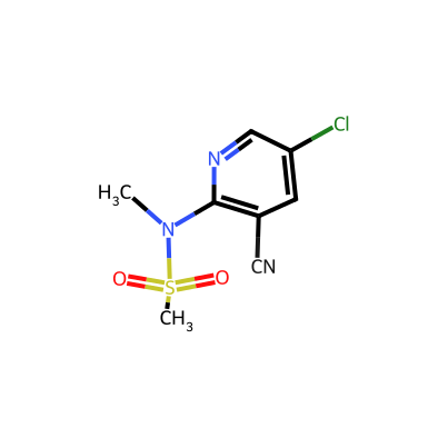 CN(c1ncc(Cl)cc1C#N)S(C)(=O)=O